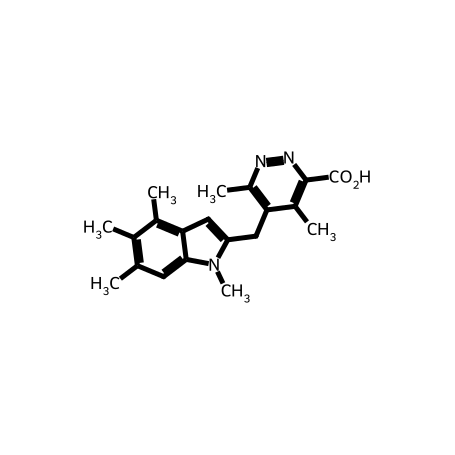 Cc1cc2c(cc(Cc3c(C)nnc(C(=O)O)c3C)n2C)c(C)c1C